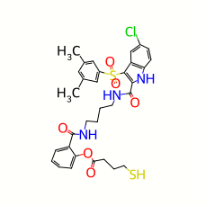 Cc1cc(C)cc(S(=O)(=O)c2c(C(=O)NCCCCNC(=O)c3ccccc3OC(=O)CCCS)[nH]c3ccc(Cl)cc23)c1